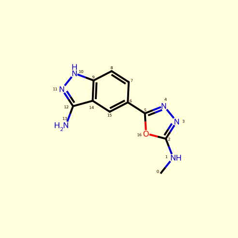 CNc1nnc(-c2ccc3[nH]nc(N)c3c2)o1